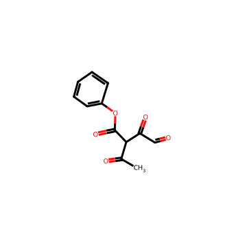 CC(=O)C(C(=O)C=O)C(=O)Oc1ccccc1